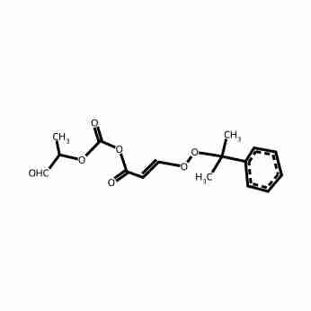 CC(C=O)OC(=O)OC(=O)C=COOC(C)(C)c1ccccc1